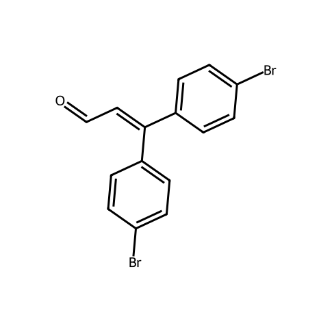 O=CC=C(c1ccc(Br)cc1)c1ccc(Br)cc1